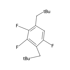 CC(C)(C)Cc1cc(F)c(CC(C)(C)C)c(F)c1F